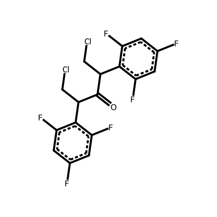 O=C(C(CCl)c1c(F)cc(F)cc1F)C(CCl)c1c(F)cc(F)cc1F